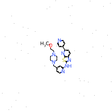 COCCN1CCN(Cc2ccnc(Nc3nc4ccc(-c5ccncc5)nc4s3)c2)CC1